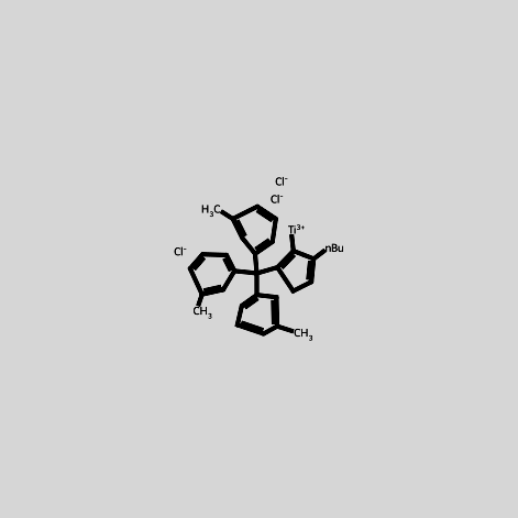 CCCCC1=CCC(C(c2cccc(C)c2)(c2cccc(C)c2)c2cccc(C)c2)=[C]1[Ti+3].[Cl-].[Cl-].[Cl-]